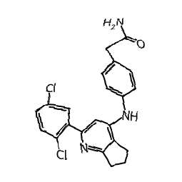 NC(=O)Cc1ccc(Nc2cc(-c3cc(Cl)ccc3Cl)nc3c2CCC3)cc1